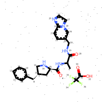 CC(NC(=O)[C@H]1C[C@H](Cc2ccccc2)CN1)C(=O)NCc1ccc2nccn2c1.O=C(O)C(F)(F)F